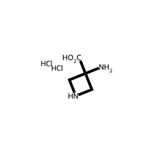 Cl.Cl.NC1(C(=O)O)CNC1